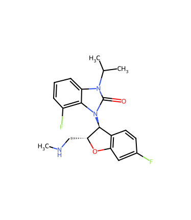 CNC[C@H]1Oc2cc(F)ccc2[C@@H]1n1c(=O)n(C(C)C)c2cccc(F)c21